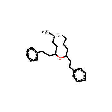 CCCCC(CCc1ccccc1)OC(CCCC)CCc1ccccc1